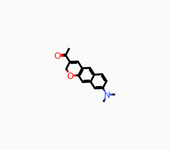 CC(=O)C1=Cc2cc3ccc(N(C)C)cc3cc2OC1